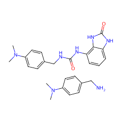 CN(C)c1ccc(CN)cc1.CN(C)c1ccc(CNC(=O)Nc2cccc3[nH]c(=O)[nH]c23)cc1